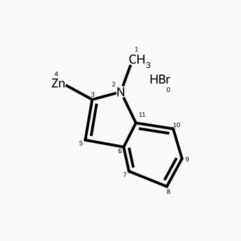 Br.Cn1[c]([Zn])cc2ccccc21